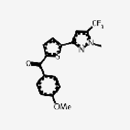 COc1ccc(C(=O)c2ccc(-c3cc(C(F)(F)F)n(C)n3)s2)cc1